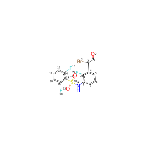 O=CC(Br)c1cccc(NS(=O)(=O)c2c(F)cccc2F)c1F